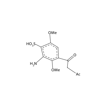 COc1cc(C(=O)CC(C)=O)c(OC)c(N)c1S(=O)(=O)O